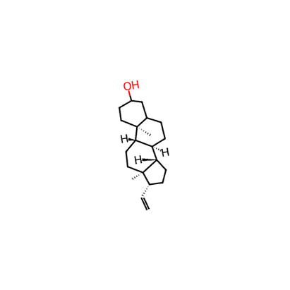 C=C[C@H]1CC[C@H]2[C@@H]3CCC4CC(O)CC[C@]4(C)[C@H]3CC[C@]12C